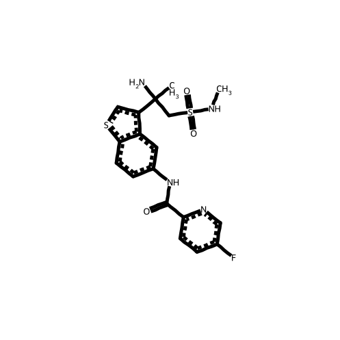 CNS(=O)(=O)CC(C)(N)c1csc2ccc(NC(=O)c3ccc(F)cn3)cc12